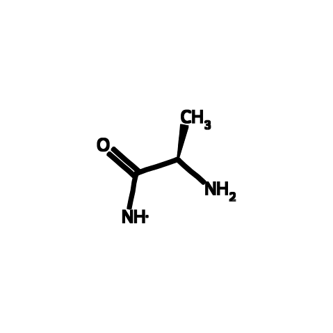 C[C@@H](N)C([NH])=O